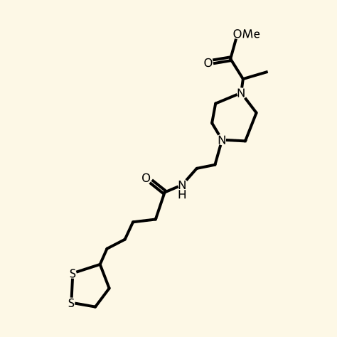 COC(=O)C(C)N1CCN(CCNC(=O)CCCCC2CCSS2)CC1